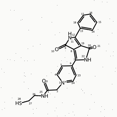 O=C(C[n+]1ccc(C2=C3C(=O)NC(c4ccccc4)=C3C(=O)N2)cc1)NCCS